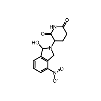 O=C1CCC(N2Cc3c(cccc3[N+](=O)[O-])C2O)C(=O)N1